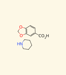 C1CCNCC1.O=C(O)c1ccc2c(c1)OCO2